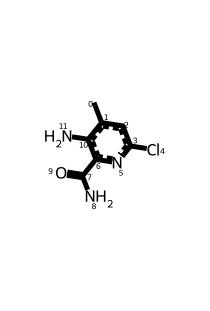 Cc1cc(Cl)nc(C(N)=O)c1N